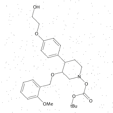 COc1ccccc1COC1CN(OC(=O)OC(C)(C)C)CCC1c1ccc(OCCO)cc1